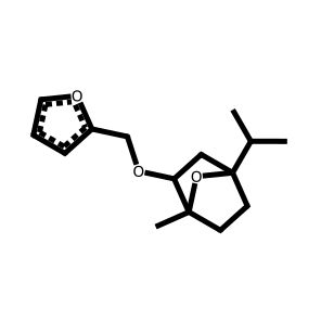 CC(C)C12CCC(C)(O1)C(OCc1ccco1)C2